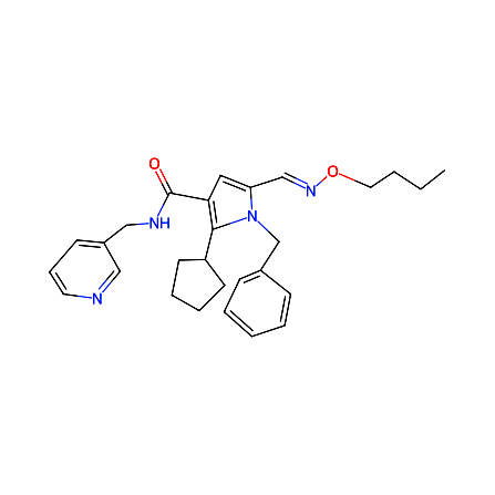 CCCCO/N=C/c1cc(C(=O)NCc2cccnc2)c(C2CCCC2)n1Cc1ccccc1